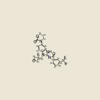 O=C(/N=c1\[nH]c2cc(N3CCCOC3=O)ccc2n1CC1(F)COC1)c1cccc(C(F)F)c1